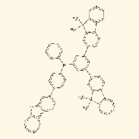 CC1(C)c2ccccc2-c2ccc(-c3cc(-c4ccc5c(c4)C(C)(C)c4ccccc4-5)cc(N(c4ccccc4)c4ccc(-c5ccc6c(c5)oc5ccccc56)cc4)c3)cc21